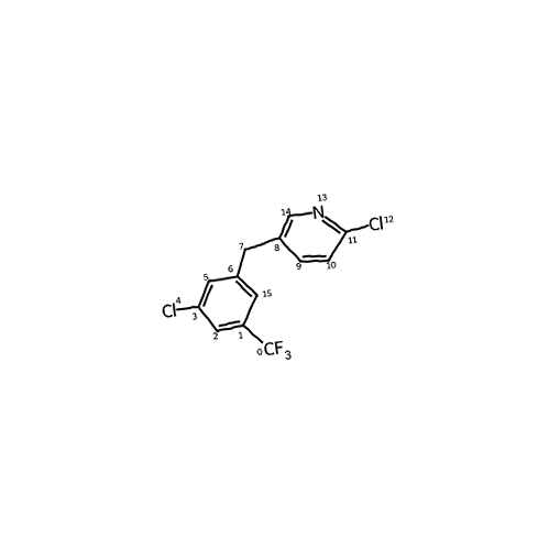 FC(F)(F)c1cc(Cl)cc(Cc2ccc(Cl)nc2)c1